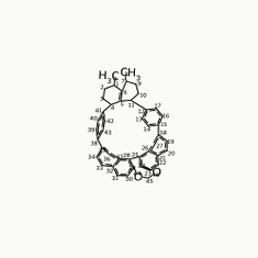 CC1CCC2C3=C1C(C)CCC3c1ccc(cc1)-c1ccc3ccc4c(c3c1)-c1c(ccc3ccc(cc13)-c1ccc2cc1)OCO4